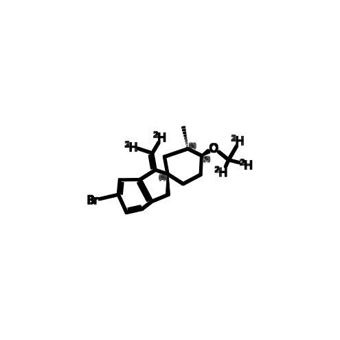 [2H]C([2H])=C1c2cc(Br)ccc2C[C@@]12CC[C@H](OC([2H])([2H])[2H])[C@@H](C)C2